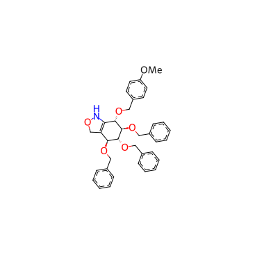 COc1ccc(CO[C@H]2C3=C(CON3)[C@H](OCc3ccccc3)[C@@H](OCc3ccccc3)[C@@H]2OCc2ccccc2)cc1